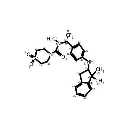 CN(C(=O)N1CCS(=O)(=O)CC1)[C@@H](c1ccc(NC2Cc3ccccc3C2(C)C)cc1)C(F)(F)F